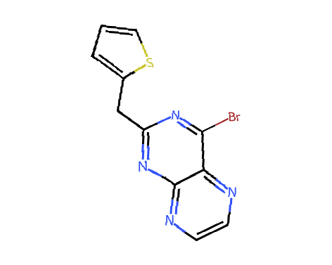 Brc1nc(Cc2cccs2)nc2nccnc12